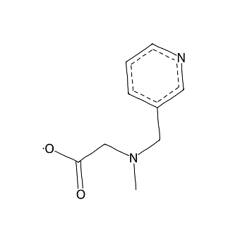 CN(CC([O])=O)Cc1cccnc1